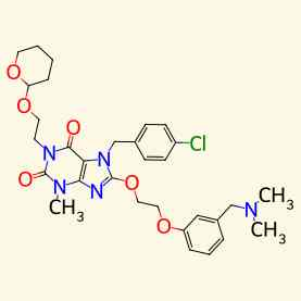 CN(C)Cc1cccc(OCCOc2nc3c(c(=O)n(CCOC4CCCCO4)c(=O)n3C)n2Cc2ccc(Cl)cc2)c1